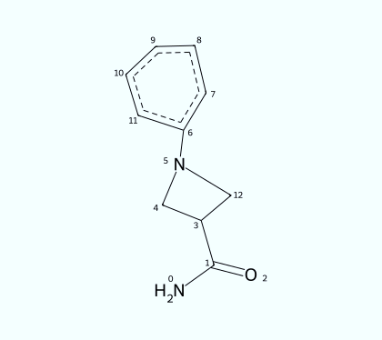 NC(=O)C1CN(c2ccccc2)C1